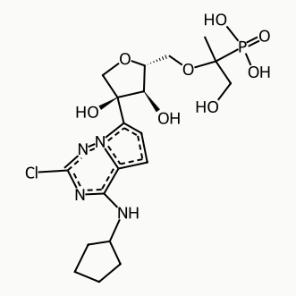 CC(CO)(OC[C@H]1OC[C@@](O)(c2ccc3c(NC4CCCC4)nc(Cl)nn23)[C@@H]1O)P(=O)(O)O